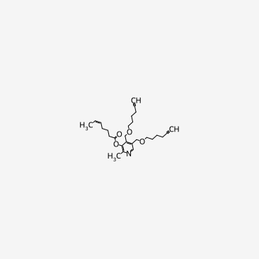 C#CCCCCOCc1cnc(C)c(OC(=O)CCC/C=C\C)c1COCCCCC#C